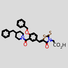 O=C(O)CN1C(=O)/C(=C/c2ccc(OCc3ccccc3)c(C(=O)N3CCC(Cc4ccccc4)CC3)c2)SC1=S